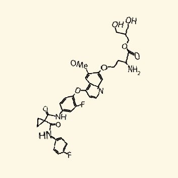 COc1cc2c(Oc3ccc(NC(=O)C4(C(=O)Nc5ccc(F)cc5)CC4)cc3F)ccnc2cc1OCCC(N)C(=O)OCC(CO)CO